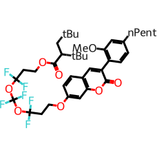 CCCCCc1ccc(-c2cc3ccc(OCCC(F)(F)OC(F)(F)OC(F)(F)CCOC(=O)C(CC(C)(C)C)C(C)(C)C)cc3oc2=O)c(OC)c1